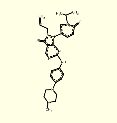 C=CCn1c(=O)c2cnc(Nc3ccc(N4CCN(C)CC4)cc3)nc2n1-c1ccc(=O)n(C(C)C)c1